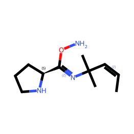 C/C=C\C(C)(C)/N=C(\ON)[C@@H]1CCCN1